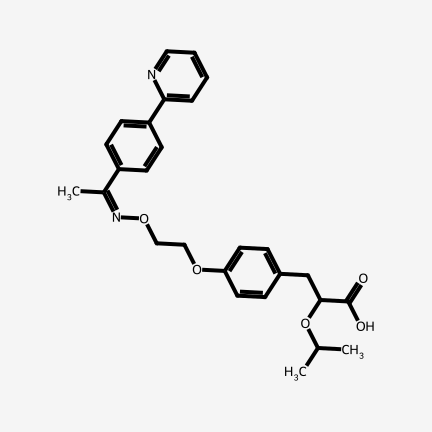 CC(=NOCCOc1ccc(CC(OC(C)C)C(=O)O)cc1)c1ccc(-c2ccccn2)cc1